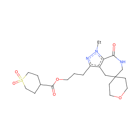 CCn1nc(CCCOC(=O)C2CCS(=O)(=O)CC2)c2c1C(=O)NCC1(CCOCC1)C2